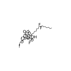 CC#CCOc1ccc(C[C@H](NC(=O)[C@@H](C=CCCCCCCC(F)(F)CCCCCCC)[C@@](O)(CCF)C(=O)O)C(=O)OC)cc1